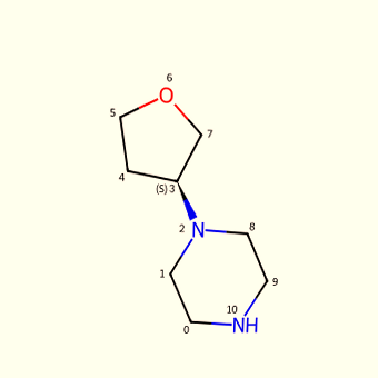 C1CN([C@H]2CCOC2)CCN1